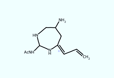 C=C/C=C1\CC(N)CNC(NC(C)=O)N1